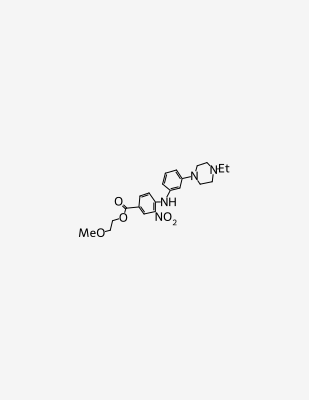 CCN1CCN(c2cccc(Nc3ccc(C(=O)OCCOC)cc3[N+](=O)[O-])c2)CC1